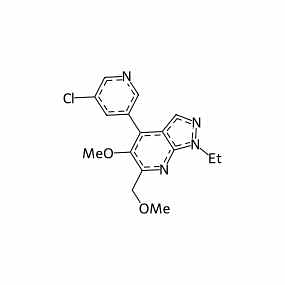 CCn1ncc2c(-c3cncc(Cl)c3)c(OC)c(COC)nc21